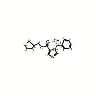 C[C@H](c1ccccc1)n1cncc1C(=O)OCC1CCOC1